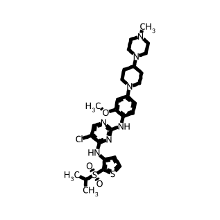 COc1cc(N2CCC(N3CCN(C)CC3)CC2)ccc1Nc1ncc(Cl)c(Nc2ccsc2S(=O)(=O)C(C)C)n1